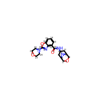 CN1C2COCC1CC(NC(=O)c1cccc3oc(N4CCOCC4)nc13)C2